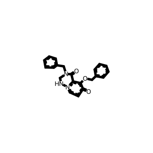 O=C1c2c(OCc3ccccc3)c(=O)ccn2NCN1Cc1ccccc1